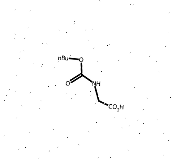 CCCCOC(=O)N[CH]C(=O)O